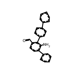 Nc1c(-c2ccccc2)ccc(C=O)c1-c1ccc(-c2ccccc2)cc1